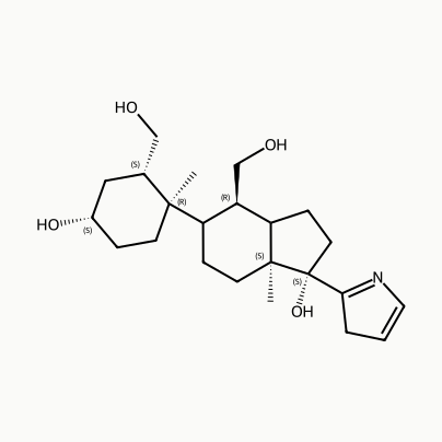 C[C@]12CCC([C@@]3(C)CC[C@H](O)C[C@@H]3CO)[C@@H](CO)C1CC[C@@]2(O)C1=NC=CC1